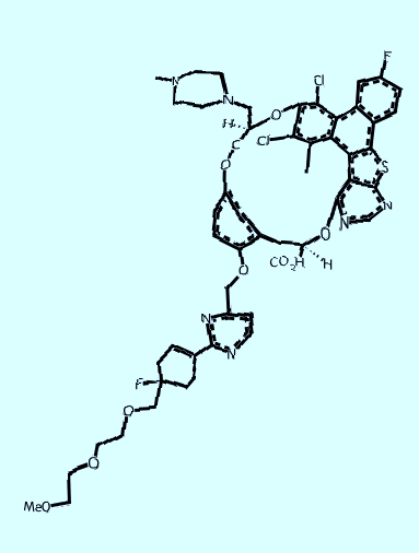 COCCOCCOC[C@]1(F)CC=C(c2nccc(COc3ccc4cc3C[C@H](C(=O)O)Oc3ncnc5sc6c7ccc(F)cc7c7c(Cl)c(c(Cl)c(C)c7c6c35)O[C@H](CN3CCN(C)CC3)CO4)n2)CC1